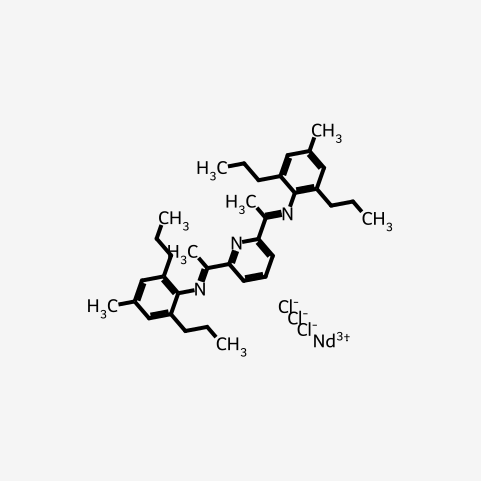 CCCc1cc(C)cc(CCC)c1N=C(C)c1cccc(C(C)=Nc2c(CCC)cc(C)cc2CCC)n1.[Cl-].[Cl-].[Cl-].[Nd+3]